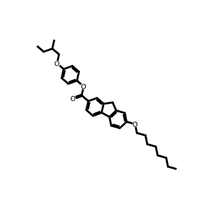 CCCCCCCCOc1ccc2c(c1)Cc1cc(C(=O)Oc3ccc(OCC(C)CC)cc3)ccc1-2